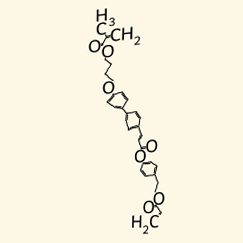 C=CC(=O)OCCc1ccc(OC(=O)/C=C/c2ccc(-c3ccc(OCCCCOC(=O)C(=C)C)cc3)cc2)cc1